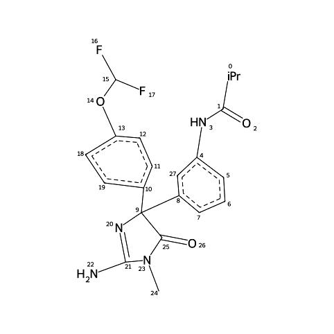 CC(C)C(=O)Nc1cccc(C2(c3ccc(OC(F)F)cc3)N=C(N)N(C)C2=O)c1